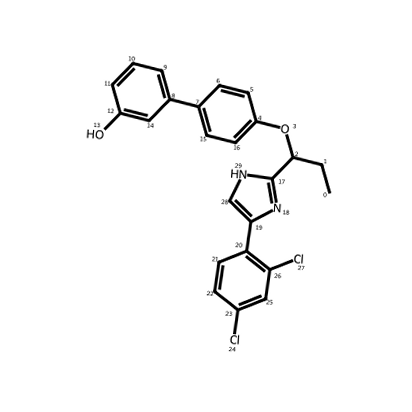 CCC(Oc1ccc(-c2cccc(O)c2)cc1)c1nc(-c2ccc(Cl)cc2Cl)c[nH]1